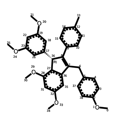 COc1ccc(CC2=C(c3ccc(C)cc3)[C@@H](c3cc(OC)cc(OC)c3)c3c(OC)cc(OC)cc32)cc1